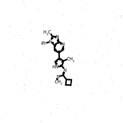 C=N/C(=N\c1[nH]cc(-c2cnc3nc(C)n(C(C)C)c3c2)c1C)C1CCC1